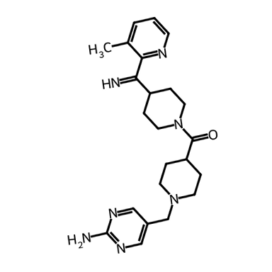 Cc1cccnc1C(=N)C1CCN(C(=O)C2CCN(Cc3cnc(N)nc3)CC2)CC1